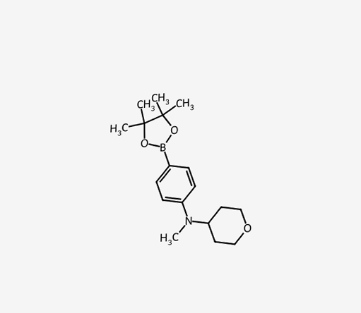 CN(c1ccc(B2OC(C)(C)C(C)(C)O2)cc1)C1CCOCC1